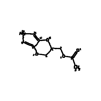 CC(=O)OCC1COc2c[nH]cc2O1